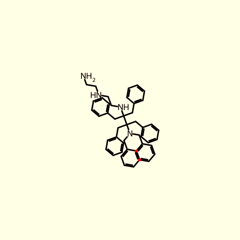 NCCNCCNC(Cc1ccccc1)(Cc1ccccc1)C(Cc1ccccc1)(Cc1ccccc1)N(Cc1ccccc1)Cc1ccccc1